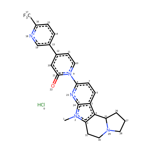 Cl.Cn1c2c(c3ccc(-n4ccc(-c5ccc(C(F)(F)F)nc5)cc4=O)nc31)C1CCCN1CC2